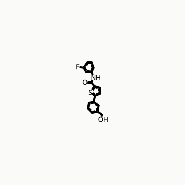 O=C(Nc1cccc(F)c1)c1ccc(-c2cccc(CO)c2)s1